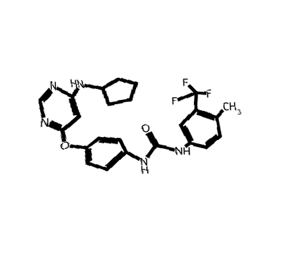 Cc1ccc(NC(=O)Nc2ccc(Oc3cc(NC4CCCC4)ncn3)cc2)cc1C(F)(F)F